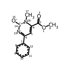 COC(=O)C1=CC(c2ccccc2)=N[S+]([O-])N1C